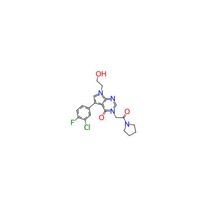 O=C(Cn1cnc2c(c(-c3ccc(F)c(Cl)c3)cn2CCO)c1=O)N1CCCC1